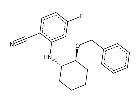 N#Cc1ccc(F)cc1N[C@H]1CCCC[C@@H]1OCc1ccccc1